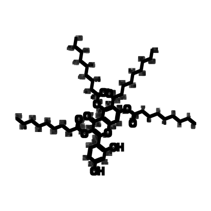 CCCCCCCCC(=O)Oc1cc2oc(-c3ccc(O)cc3O)c(OC(=O)CCCCCCCC)c(=O)c2c(OC(=O)CCCCCCCC)c1C(=O)CCCCCCCC